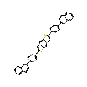 c1ccc2cc(-c3ccc(-c4cc5cc6sc(-c7ccc(-c8ccc9ccccc9c8)cc7)cc6cc5s4)cc3)ccc2c1